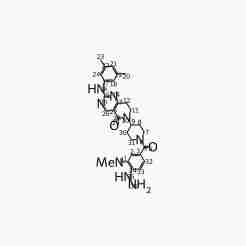 CNc1cc(C(=O)N2CCC(N3CCc4nc(Nc5cc(C)cc(C)c5)ncc4C3=O)CC2)ccc1NN